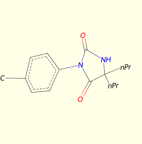 CCCC1(CCC)NC(=O)N(c2ccc(C#N)cc2)C1=O